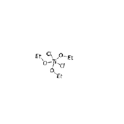 CC[O][Ti]([Cl])([Cl])([O]CC)[O]CC